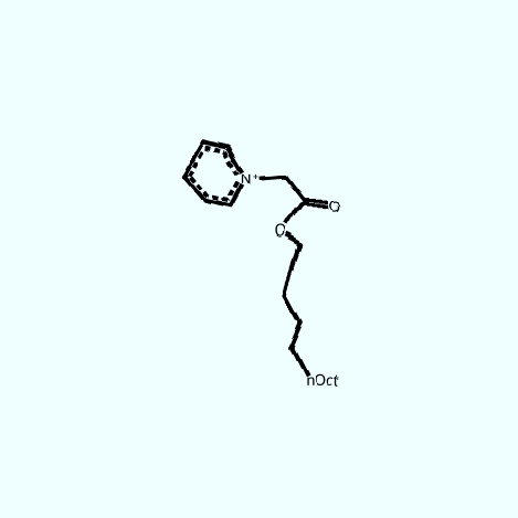 CCCCCCCCCCCCOC(=O)C[n+]1ccccc1